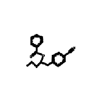 CCCC(Cc1ccc(C#N)cc1)OC(=O)c1ccccc1